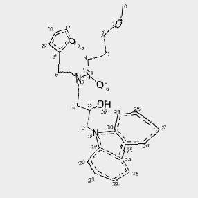 COCCC[S+]([O-])N(Cc1ccco1)CC(O)Cn1c2ccccc2c2ccccc21